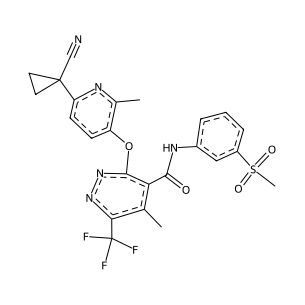 Cc1nc(C2(C#N)CC2)ccc1Oc1nnc(C(F)(F)F)c(C)c1C(=O)Nc1cccc(S(C)(=O)=O)c1